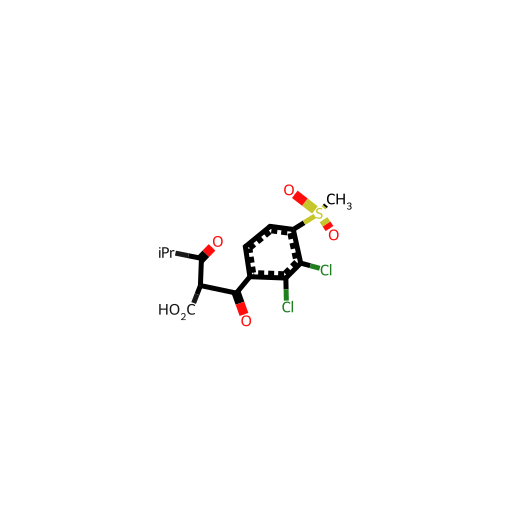 CC(C)C(=O)C(C(=O)O)C(=O)c1ccc(S(C)(=O)=O)c(Cl)c1Cl